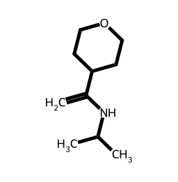 C=C(NC(C)C)C1CCOCC1